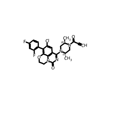 C#CC(=O)N1C[C@H](C)N(c2nc(=O)n3c4c(c(-c5ccc(F)cc5F)c(Cl)cc24)OCC3)C[C@H]1C